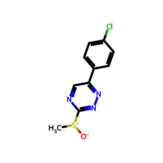 C[S+]([O-])c1ncc(-c2ccc(Cl)cc2)nn1